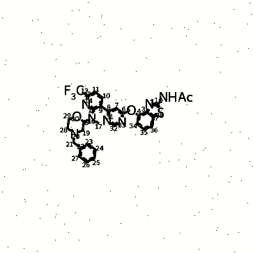 CC(=O)Nc1nc2c(Oc3cc(-c4ccc(C(F)(F)F)nc4N(C)C4CN(Cc5ccccc5)CCO4)ncn3)cccc2s1